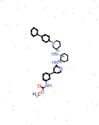 COC(=O)Nc1cccc(-c2ccnc(N[C@@H]3CCCC[C@H]3N[C@H]3CCCN(c4ccc(-c5ccccc5)cc4)C3)c2)c1